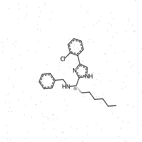 CCCCCC[C@H](NCc1ccccc1)c1nc(-c2ccccc2Cl)c[nH]1